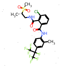 Cc1cc(C(F)(C(F)(F)F)C(F)(F)F)ccc1NC(=O)c1cccc(Cl)c1C(=O)NC[C@H](C)S(C)(=O)=O